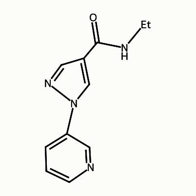 CCNC(=O)c1cnn(-c2cccnc2)c1